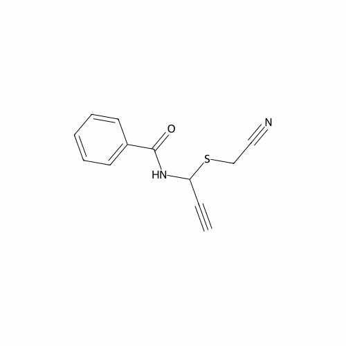 C#CC(NC(=O)c1ccccc1)SCC#N